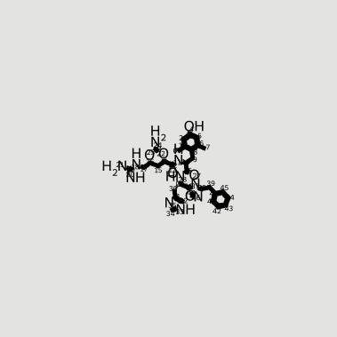 Cc1cc(O)cc(C)c1CC(NC(=O)C(CCCNC(=N)N)OC(N)=O)C(=O)N[C@@H](Cc1c[nH]cn1)c1nc(Cc2ccccc2)no1